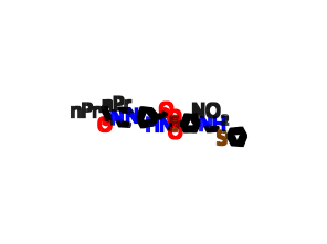 CCCC(CCC)C(=O)N1CCN(c2ccc(C(=O)NS(=O)(=O)c3ccc(NCCSc4ccccc4)c([N+](=O)[O-])c3)cc2)CC1